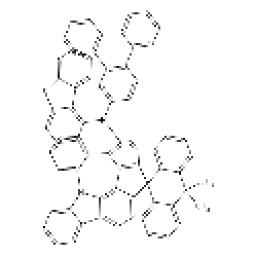 CC1(C)c2ccccc2C2(c3ccccc31)c1ccc(N(c3ccc(-c4ccccc4)c(-c4ccccc4)c3)c3cccc4sc5ccccc5c34)c3c1-c1c2ccc2c4ccccc4n(c12)-c1ccccc1-3